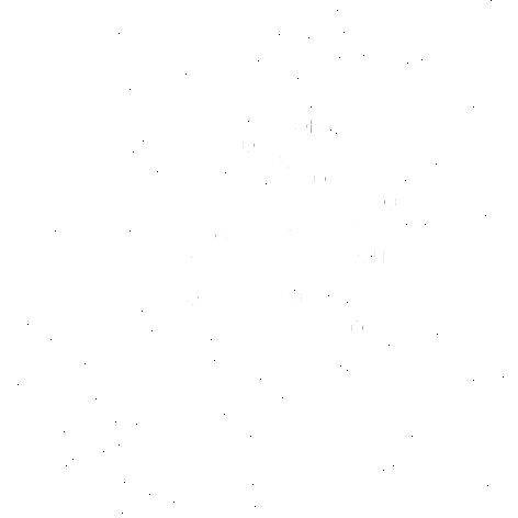 [CH2]C(C(CC(=O)O)(C(C)OC(=O)C=C)C(C)OC(=O)C=C)S(=O)(=O)O